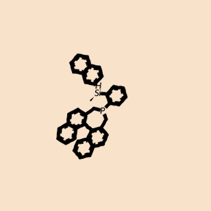 C[Si@H](c1ccc2ccccc2c1)c1ccccc1P1Cc2ccc3ccccc3c2-c2c(ccc3ccccc23)C1